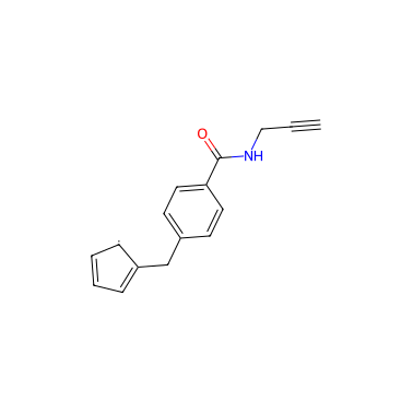 C#CCNC(=O)c1ccc(CC2=CC=C[CH]2)cc1